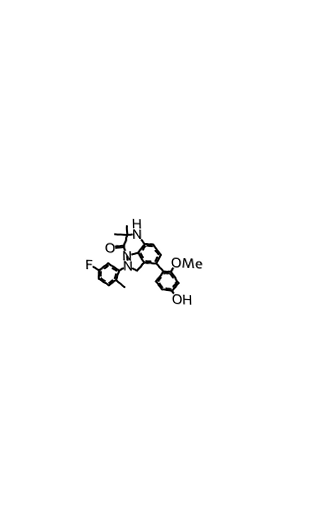 COc1cc(O)ccc1-c1ccc2c3c1CN(c1cc(F)ccc1C)N3C(=O)C(C)(C)N2